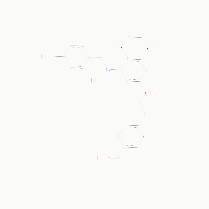 Cc1ccc(CN(C)c2cc(C(=O)/C=C/c3ccc(C(=O)O)cc3)cc3c2C(C)(C)CCC3(C)C)cc1